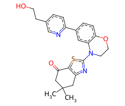 CC1(C)CC(=O)c2sc(N3CCOc4ccc(-c5ccc(CCO)cn5)cc43)nc2C1